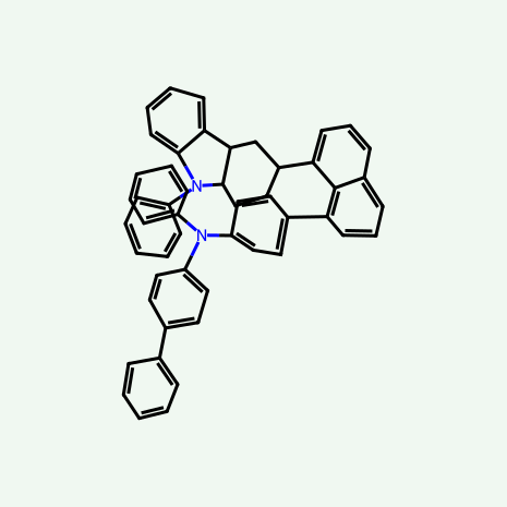 c1ccc(-c2ccc(N(c3ccccc3)c3ccc(-c4cccc5cccc(C6CCC7C(C6)c6ccccc6N7c6ccccc6)c45)cc3)cc2)cc1